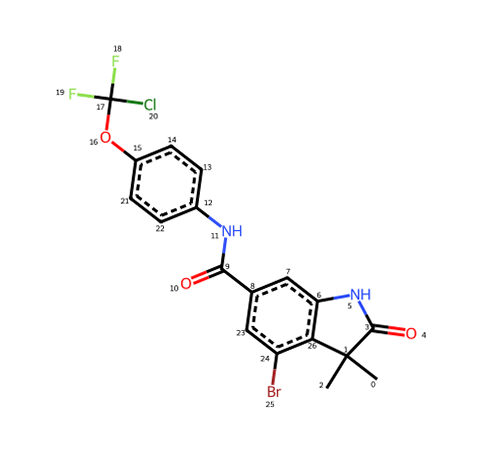 CC1(C)C(=O)Nc2cc(C(=O)Nc3ccc(OC(F)(F)Cl)cc3)cc(Br)c21